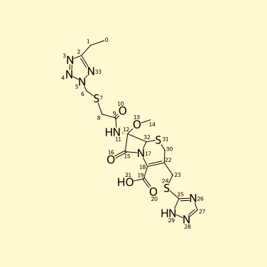 CCc1nnn(CSCC(=O)N[C@@]2(OC)C(=O)N3C(C(=O)O)=C(CSc4ncn[nH]4)CSC32)n1